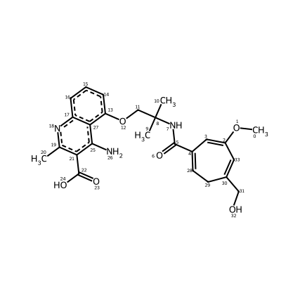 COC1=CC(C(=O)NC(C)(C)COc2cccc3nc(C)c(C(=O)O)c(N)c23)=CCC(CO)=C1